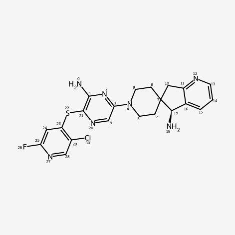 Nc1nc(N2CCC3(CC2)Cc2ncccc2[C@H]3N)cnc1Sc1cc(F)ncc1Cl